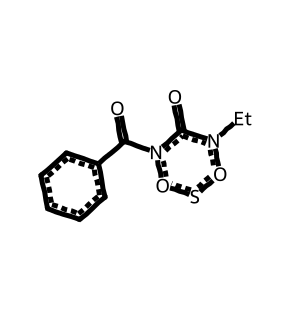 CCn1oson(C(=O)c2ccccc2)c1=O